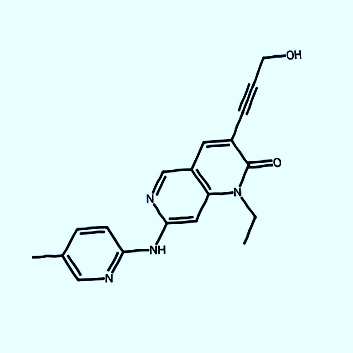 CCn1c(=O)c(C#CCO)cc2cnc(Nc3ccc(C)cn3)cc21